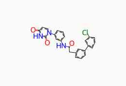 O=C(Cc1cccc(-c2cccc(Cl)c2)c1)Nc1cccc(-n2ccc(=O)[nH]c2=O)c1